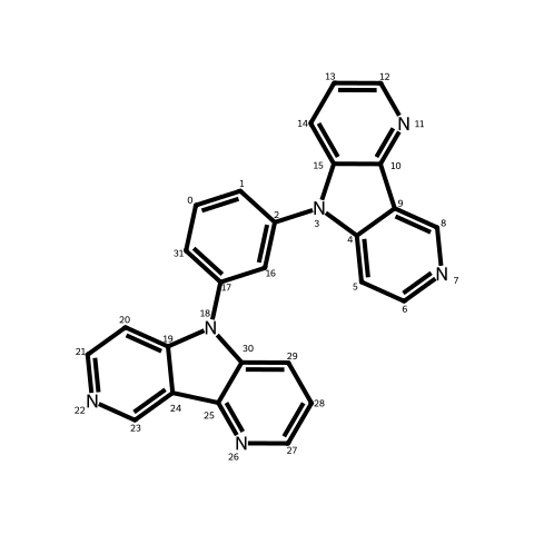 c1cc(-n2c3ccncc3c3ncccc32)cc(-n2c3ccncc3c3ncccc32)c1